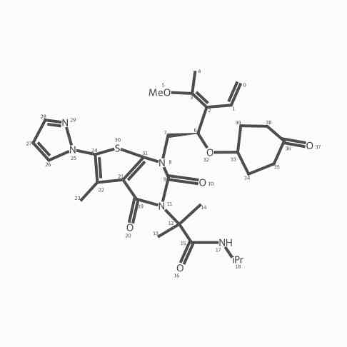 C=C/C(=C(\C)OC)[C@H](Cn1c(=O)n(C(C)(C)C(=O)NC(C)C)c(=O)c2c(C)c(-n3cccn3)sc21)OC1CCC(=O)CC1